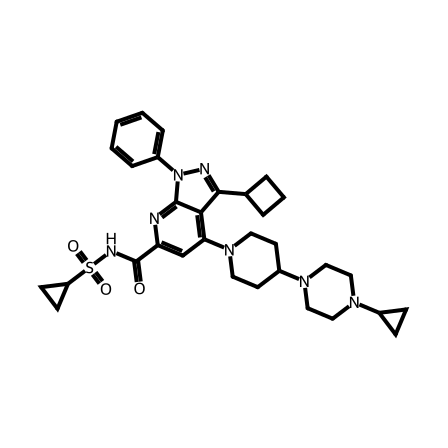 O=C(NS(=O)(=O)C1CC1)c1cc(N2CCC(N3CCN(C4CC4)CC3)CC2)c2c(C3CCC3)nn(-c3ccccc3)c2n1